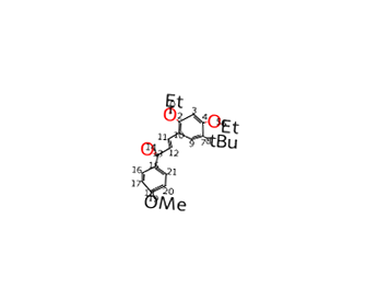 CCOc1cc(OCC)c(C(C)(C)C)cc1C=CC(=O)c1ccc(OC)cc1